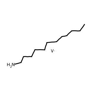 CCCCCCCCCCCCN.[V]